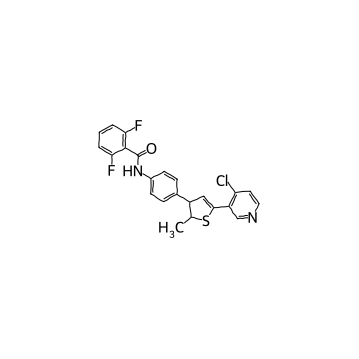 CC1SC(c2cnccc2Cl)=CC1c1ccc(NC(=O)c2c(F)cccc2F)cc1